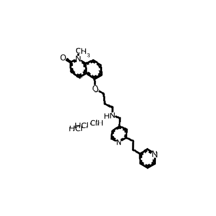 Cl.Cl.Cl.Cn1c(=O)ccc2c(OCCCNCc3ccnc(CCc4cccnc4)c3)cccc21